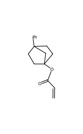 C=CC(=O)OC12CCC(C(C)C)(CC1)C2